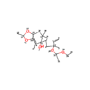 C=CC(C)(CCC1(O)C(C)=C2OC(C)OC2CC1(C)C)OC(C)OCC